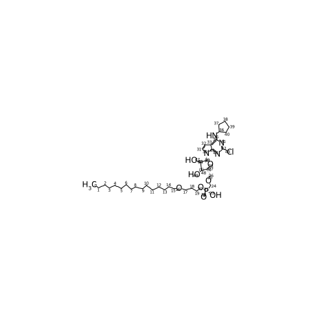 CCCCCCCCCCCCCCCCOCCCOP(=O)(O)COC[C@H]1O[C@@H](n2ccc3c(NC4CCCC4)nc(Cl)nc32)[C@H](O)[C@@H]1O